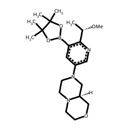 CO[C@@H](C)c1ncc(N2CCN3CCOC[C@@H]3C2)cc1B1OC(C)(C)C(C)(C)O1